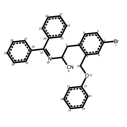 N#CC(Cc1ccc(Br)cc1COc1ccccc1)N=C(c1ccccc1)c1ccccc1